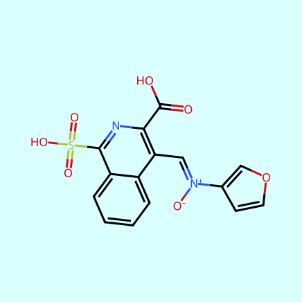 O=C(O)c1nc(S(=O)(=O)O)c2ccccc2c1C=[N+]([O-])c1ccoc1